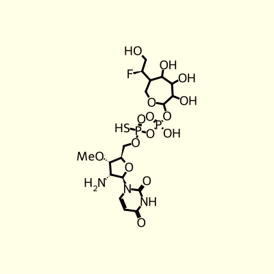 CO[C@H]1[C@@H](N)[C@H](n2ccc(=O)[nH]c2=O)O[C@@H]1COP(=O)(S)OP(=O)(O)OC1OCC([C@@H](F)CO)C(O)C(O)C1O